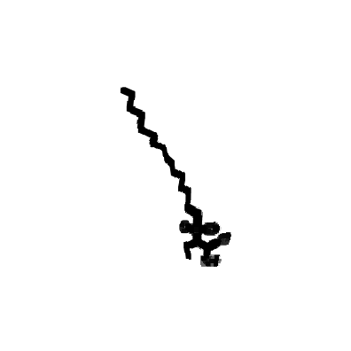 CCCCCCCCCCCCCCCCS(=O)(=O)C(CC)C([NH])=O